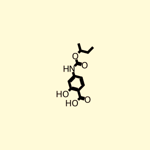 CCC(C)OC(=O)Nc1ccc(C(=O)O)c(O)c1